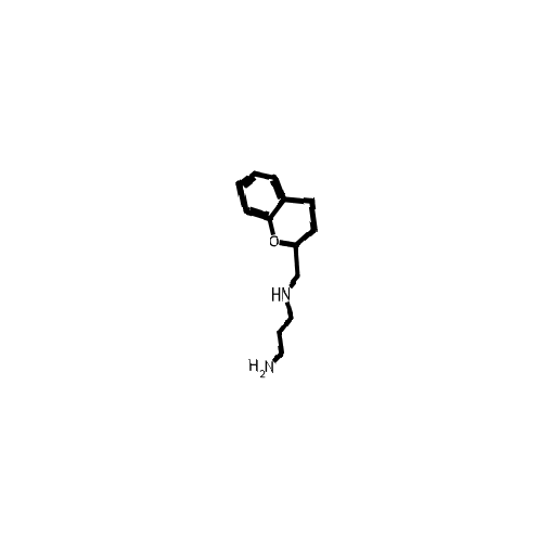 NCCCNCC1CCc2ccccc2O1